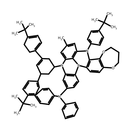 Cc1cc2c3c(c1)N(C1CC(C4=CC=C(C(C)(C)C)CC4)=CC(c4ccc(C(C)(C)C)cc4)C1)c1cc(N(c4ccccc4)c4ccccc4)ccc1B3c1ccc3c(c1N2c1ccc(C(C)(C)C)cc1)OCCCO3